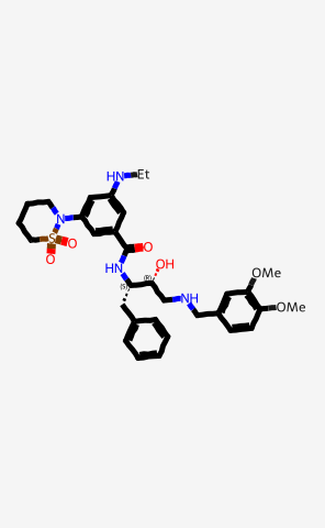 CCNc1cc(C(=O)N[C@@H](Cc2ccccc2)[C@H](O)CNCc2ccc(OC)c(OC)c2)cc(N2CCCCS2(=O)=O)c1